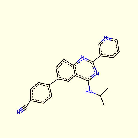 CC(C)Nc1nc(-c2cccnc2)nc2ccc(-c3ccc(C#N)cc3)cc12